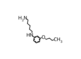 CCCCOc1cccc(NCCCCCN)c1